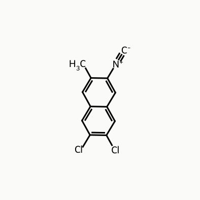 [C-]#[N+]c1cc2cc(Cl)c(Cl)cc2cc1C